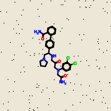 NC(=O)CN(CC(=O)CNC(CN1CCCC1)c1ccc(-c2ccccc2C(N)=O)cc1)c1ccc(Cl)c(Cl)c1